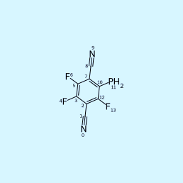 N#Cc1c(F)c(F)c(C#N)c(P)c1F